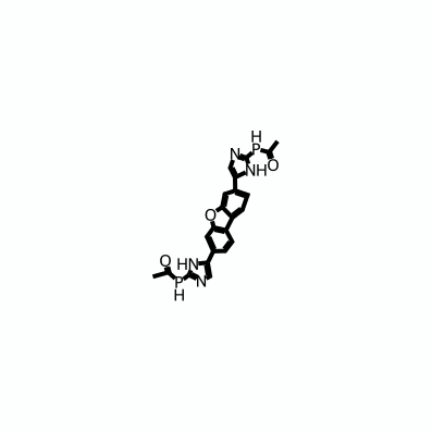 CC(=O)Pc1ncc(-c2ccc3c(c2)oc2cc(-c4cnc(PC(C)=O)[nH]4)ccc23)[nH]1